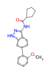 COc1ccccc1-c1ccc2c(NC(=O)C3CCCC3)n[nH]c2c1